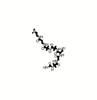 CCCC(=O)NC(C)(C)C(=O)NCC(=O)NC(CC(C)C)C(=O)NC(C)(C)C(=O)NC(C)(C)C(=O)NCCC(=O)NCCN(C)C